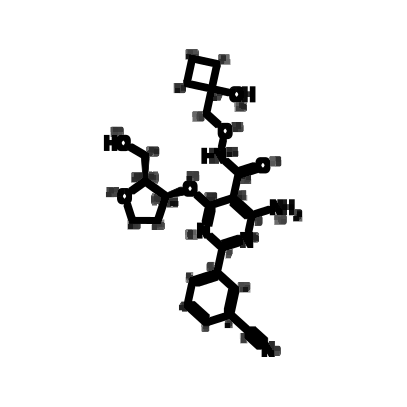 N#Cc1cccc(-c2nc(N)c(C(=O)NOCC3(O)CCC3)c(O[C@H]3CCO[C@H]3CO)n2)c1